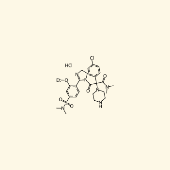 CCOc1cc(S(=O)(=O)N(C)C)ccc1C1=NCCN1C(=O)C(C(=O)N(C)C)(c1ccc(Cl)cc1)N1CCNCC1.Cl